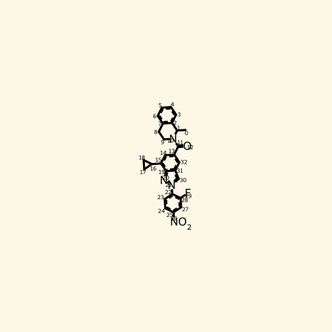 CC1c2ccccc2CCN1C(=O)c1cc(C2CC2)c2nn(-c3ccc([N+](=O)[O-])cc3F)cc2c1